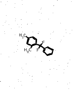 Cc1ccc(C(F)(F)c2ccccc2)c(C)c1